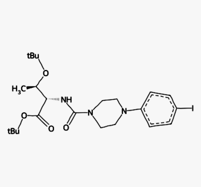 C[C@@H](OC(C)(C)C)[C@H](NC(=O)N1CCN(c2ccc(I)cc2)CC1)C(=O)OC(C)(C)C